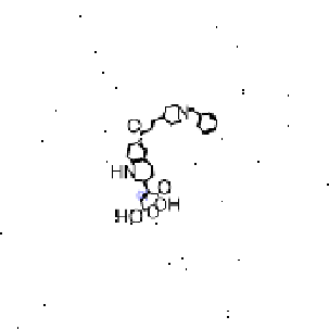 O=C(O)/C=C(\C(=O)O)C1CCc2cc(C(=O)CCC3CCN(Cc4ccccc4)CC3)ccc2NC1